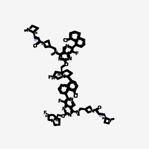 CN(CC1CN(C(=O)/C=C/[C@@H]2CCN2C)C1)c1nc(OC[C@@]23CCC(c4ccc(Cl)c5c(-c6ncc7c(N(C)CC8CN(C(=O)/C=C/[C@H]9CCN9C)C8)nc(OC[C@@]89CCCN8C[C@H](F)C9)nc7c6F)cccc45)N2C[C@H](F)C3)nc2c(F)c(-c3cccc4cccc(Cl)c34)ncc12